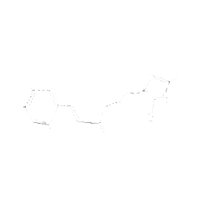 Cc1nc(CCOC(=O)C=Cc2ccccc2)c([N+](=O)[O-])[nH]1